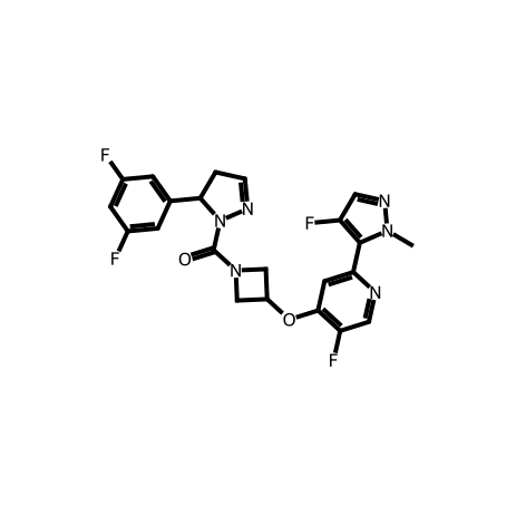 Cn1ncc(F)c1-c1cc(OC2CN(C(=O)N3N=CCC3c3cc(F)cc(F)c3)C2)c(F)cn1